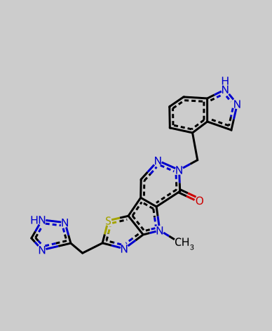 Cn1c2nc(Cc3nc[nH]n3)sc2c2cnn(Cc3cccc4[nH]ncc34)c(=O)c21